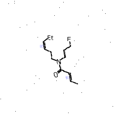 C/C=C/C(=O)N(CC/C=C\CC)CCCF